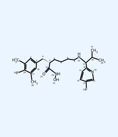 Cc1cc(C[C@H](CCCCNC(c2ccc(F)cn2)C(C)C)C(=O)NO)cc(C)c1F